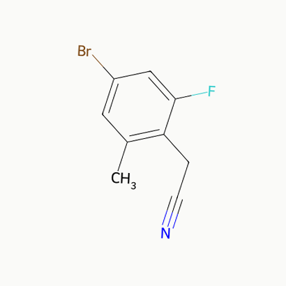 Cc1cc(Br)cc(F)c1CC#N